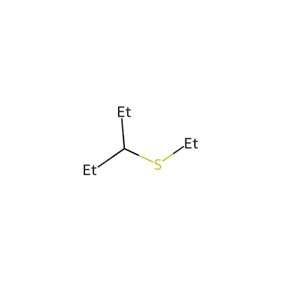 [CH2]CSC(CC)CC